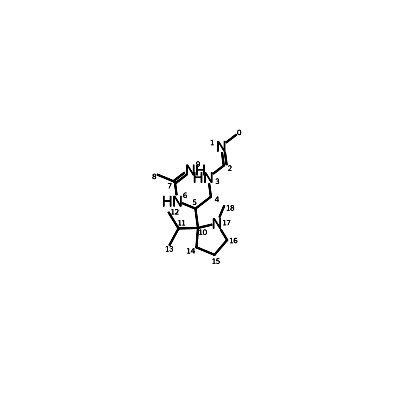 C/N=C/NCC(NC(C)=N)C1(C(C)C)CCCN1C